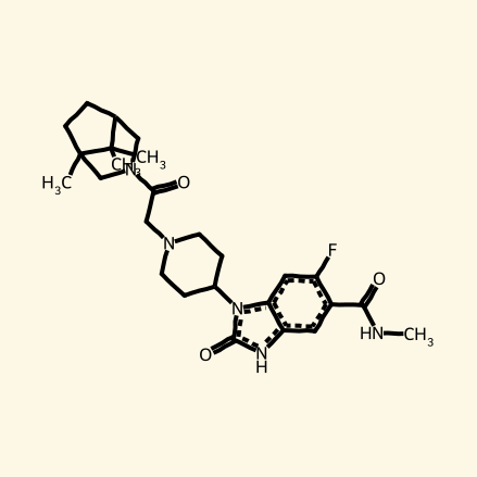 CNC(=O)c1cc2[nH]c(=O)n(C3CCN(CC(=O)N4CC5CCC(C)(C4)C5(C)C)CC3)c2cc1F